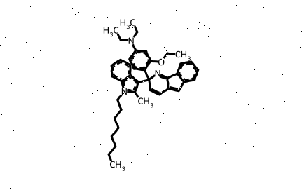 CCCCCCCCn1c(C)c(C2(c3ccc(N(CC)CC)cc3OCC)C=CC3=Cc4ccccc4C3=N2)c2ccccc21